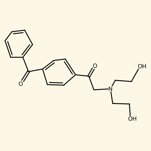 O=C(CN(CCO)CCO)c1ccc(C(=O)c2ccccc2)cc1